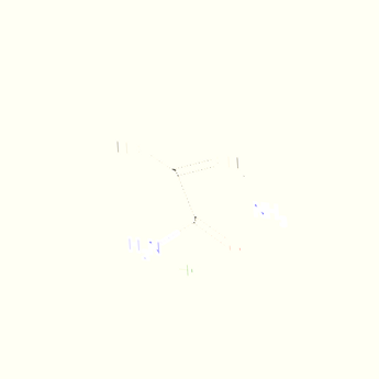 C=C(C)C(N)=O.Cl.N